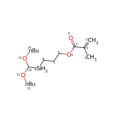 C=C(C)C(=O)OCCC[SiH2]C(OCCCC)OCCCC